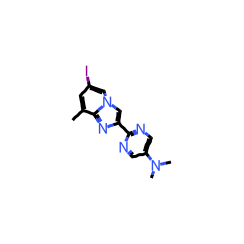 Cc1cc(I)cn2cc(-c3ncc(N(C)C)cn3)nc12